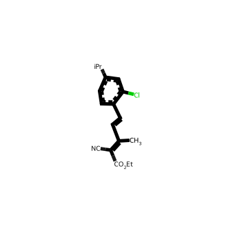 CCOC(=O)/C(C#N)=C(C)/C=C/c1ccc(C(C)C)cc1Cl